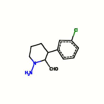 NN1CCCC(c2cccc(Cl)c2)C1C=O